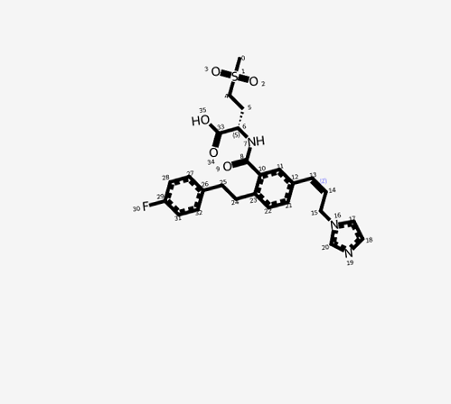 CS(=O)(=O)CC[C@H](NC(=O)c1cc(/C=C\Cn2ccnc2)ccc1CCc1ccc(F)cc1)C(=O)O